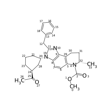 COC(=O)N1c2ccc3c(nc(Cc4ccccc4)n3[C@H]3CCC[C@H](C(C)=O)C3)c2CC[C@@H]1C